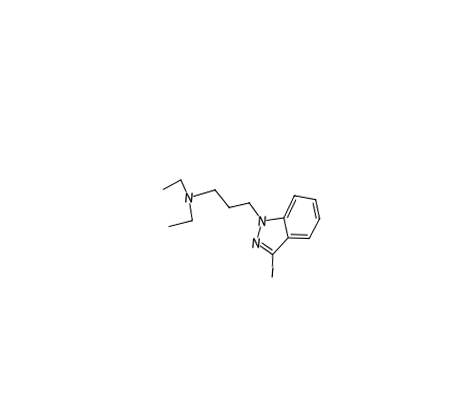 CCN(CC)CCCn1nc(I)c2ccccc21